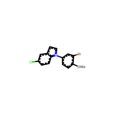 COc1ccc(-n2ccc3cc(Cl)ccc32)cc1Br